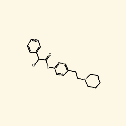 O=C(Oc1ccc(CCN2CCCCC2)cc1)C(Cl)c1ccccc1